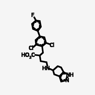 O=C(O)C(CCNC1CCc2[nH]ncc2C1)Cc1c(Cl)cc(-c2ccc(F)cc2)cc1Cl